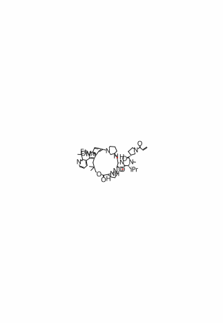 C=CC(=O)N1CC[C@H](C(=O)N(C)[C@H](C(=O)N[C@H]2C[C@@H]3CCCN(C3)c3ccc4c(c3)c(c(-c3cccnc3[C@H](C)OC)n4CC)CC(C)(C)COC(=O)[C@@H]3CCCN(N3)C2=O)C(C)C)C1